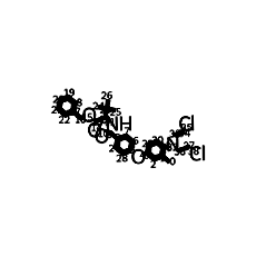 Cc1cc(Oc2ccc(C(=O)N[C@H](C(=O)OCc3ccccc3)C(C)(C)C)cc2)ccc1N(CCCl)CCCl